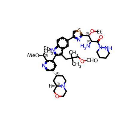 CCO[C@H](c1nc(-c2ccc3c(c2)c(CC(C)(C)COC=O)c(-c2cc([C@@H]4CCN5CCOC[C@@H]5C4)cnc2[C@H](C)OC)n3CC)cs1)[C@H](N)C(=O)N1CCCCN1